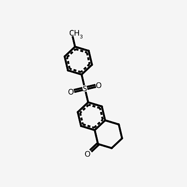 Cc1ccc(S(=O)(=O)c2ccc3c(c2)CCCC3=O)cc1